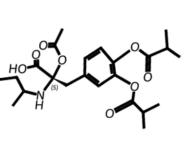 CCC(C)N[C@@](Cc1ccc(OC(=O)C(C)C)c(OC(=O)C(C)C)c1)(OC(C)=O)C(=O)O